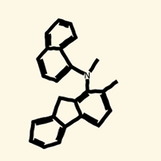 Cc1ccc2c(c1N(C)c1cccc3ccccc13)Cc1ccccc1-2